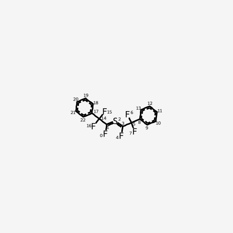 FC(=S=C(F)C(F)(F)c1ccccc1)C(F)(F)c1ccccc1